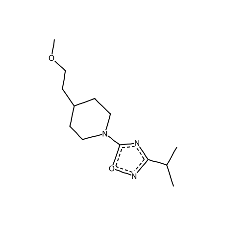 COCCC1CCN(c2nc(C(C)C)no2)CC1